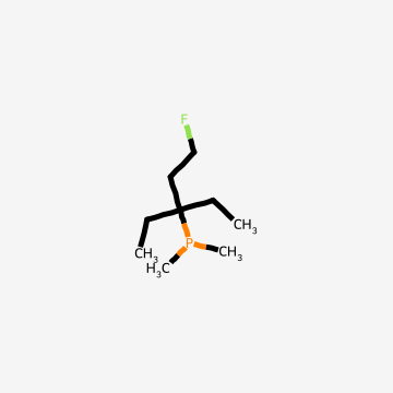 CCC(CC)(CCF)P(C)C